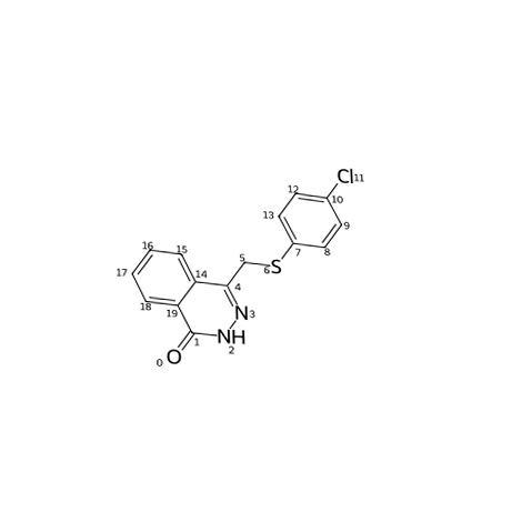 O=c1[nH]nc(CSc2ccc(Cl)cc2)c2ccccc12